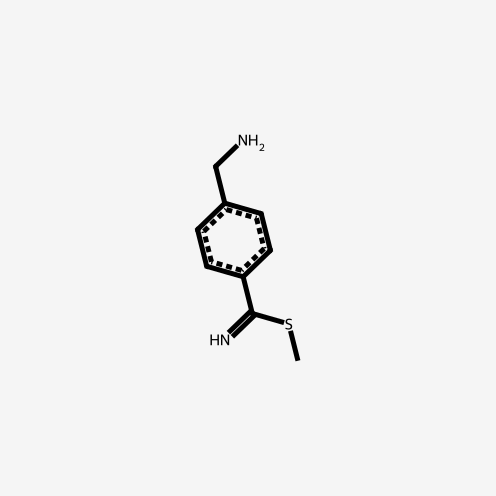 CSC(=N)c1ccc(CN)cc1